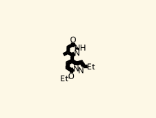 CCOc1ccc(C2=NNC(=O)CC2C)c2cc(CC)nn12